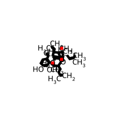 C=C(C)CCC(C[C@]12C[C@@H]3[C@H](C=C(C)C)[C@](C(=O)c4ccc(O)c(O)c4)(C1=O)C(=O)[C@](CC=C(C)C)(C2=O)C3(C)C)C(=C)C